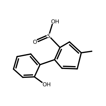 Cc1ccc(-c2ccccc2O)c(S(=O)O)c1